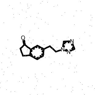 O=C1CCc2ccc(CCn3cncn3)cc21